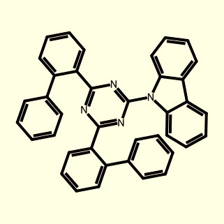 c1ccc(-c2ccccc2-c2nc(-c3ccccc3-c3ccccc3)nc(-n3c4ccccc4c4ccccc43)n2)cc1